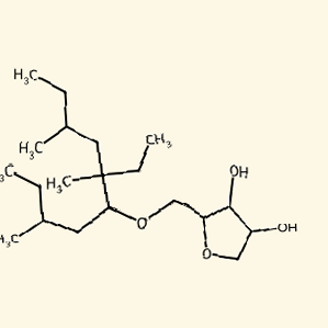 CCC(C)CC(OCC1OCC(O)C1O)C(C)(CC)CC(C)CC